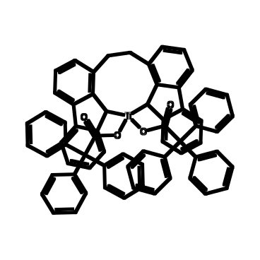 O=C([O][Ti]1([O]C(=O)C(c2ccccc2)(c2ccccc2)c2ccccc2)[CH]2c3ccccc3-c3cccc(c32)CCc2cccc3c2[CH]1c1ccccc1-3)C(c1ccccc1)(c1ccccc1)c1ccccc1